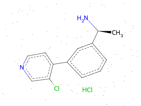 C[C@H](N)c1cccc(-c2ccncc2Cl)c1.Cl